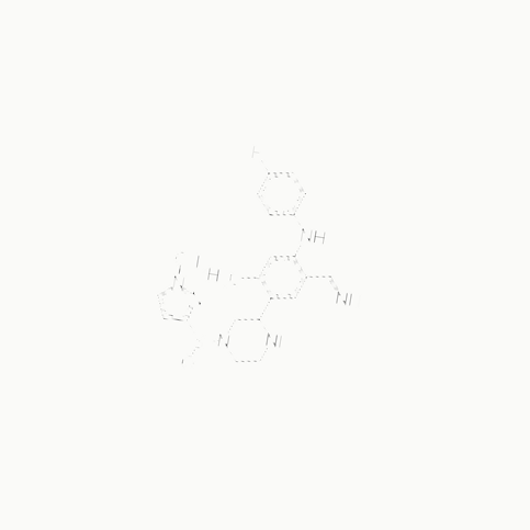 Cc1cc(Nc2ccc(F)cc2)c(C=N)cc1C1CN([S+]([O-])c2ccn(C)n2)CCN1